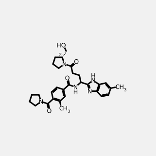 Cc1ccc2nc(C(CCC(=O)N3CCC[C@@H]3CO)NC(=O)c3ccc(C(=O)N4CCCC4)c(C)c3)[nH]c2c1